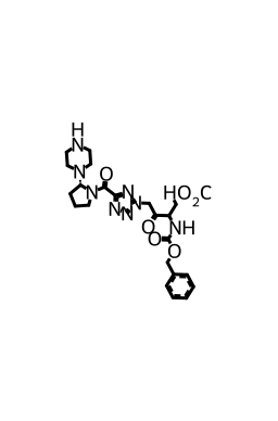 O=C(O)CC(NC(=O)OCc1ccccc1)C(=O)Cn1nnc(C(=O)N2CCC[C@@H]2N2CCNCC2)n1